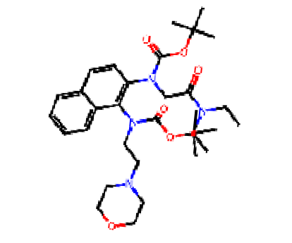 CCN(CC)C(=O)CN(C(=O)OC(C)(C)C)c1ccc2ccccc2c1N(CCN1CCOCC1)C(=O)OC(C)(C)C